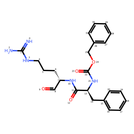 N=C(N)NCCC[C@@H]([C]=O)NC(=O)[C@H](Cc1ccccc1)NC(=O)OCc1ccccc1